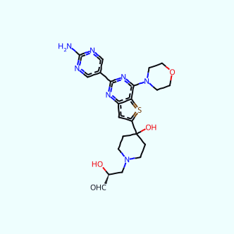 Nc1ncc(-c2nc(N3CCOCC3)c3sc(C4(O)CCN(C[C@H](O)C=O)CC4)cc3n2)cn1